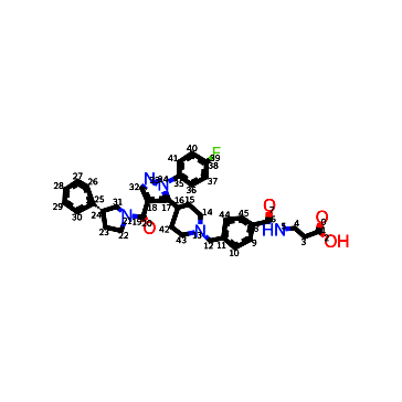 O=C(O)CCNC(=O)c1ccc(CN2CCC(c3c(C(=O)N4CC[C@H](c5ccccc5)C4)cnn3-c3ccc(F)cc3)CC2)cc1